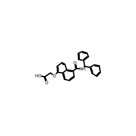 O=C(O)COc1cccc2c(C(=O)NC(c3ccccc3)c3ccccc3)cccc12